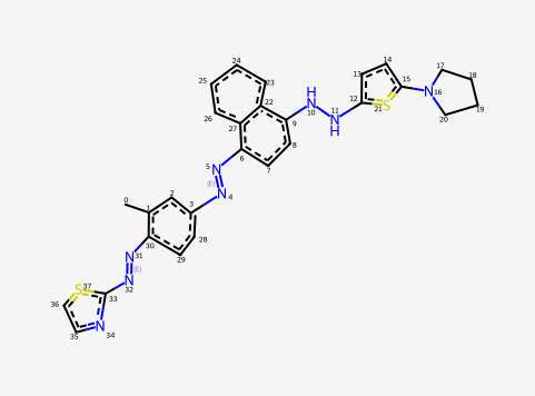 Cc1cc(/N=N/c2ccc(NNc3ccc(N4CCCC4)s3)c3ccccc23)ccc1/N=N/c1nccs1